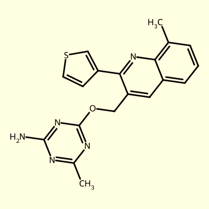 Cc1nc(N)nc(OCc2cc3cccc(C)c3nc2-c2ccsc2)n1